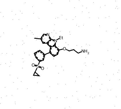 CCn1c2ncc(C)cc2c2c(-c3cccc(S(=O)(=O)C4CC4)c3)ccc(OCCCN)c21